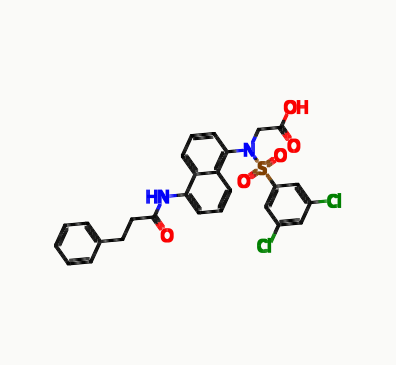 O=C(O)CN(c1cccc2c(NC(=O)CCc3ccccc3)cccc12)S(=O)(=O)c1cc(Cl)cc(Cl)c1